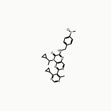 Cc1ncnc(C2CC2)c1-c1ncc2nc(NCc3ccc([S+](C)[O-])cc3)c(=O)n(C(C)C3CC3)c2n1